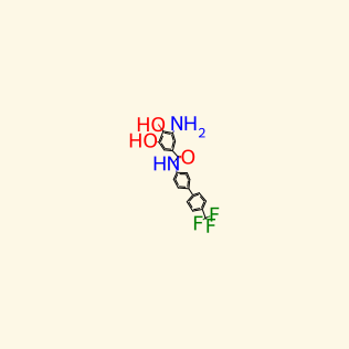 Nc1cc(C(=O)Nc2ccc(-c3ccc(C(F)(F)F)cc3)cc2)cc(O)c1O